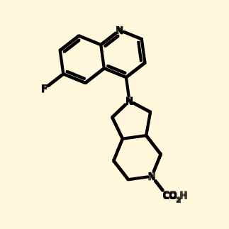 O=C(O)N1CCC2CN(c3ccnc4ccc(F)cc34)CC2C1